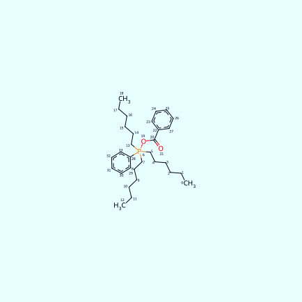 CCCCCCP(CCCCCC)(CCCCCC)(OC(=O)c1ccccc1)c1ccccc1